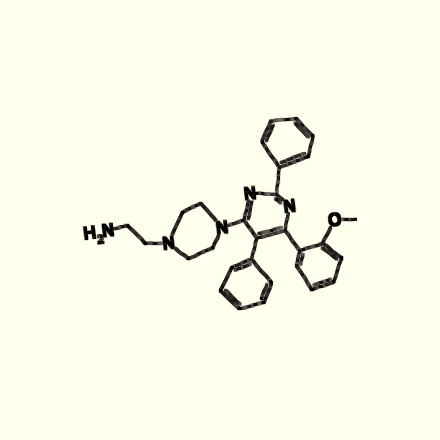 COc1ccccc1-c1nc(-c2ccccc2)nc(N2CCN(CCN)CC2)c1-c1ccccc1